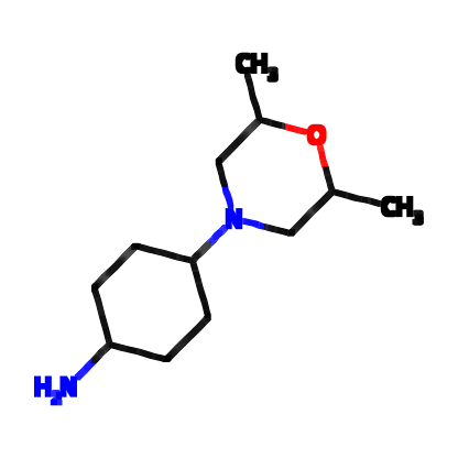 CC1CN(C2CCC(N)CC2)CC(C)O1